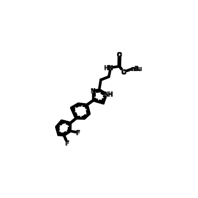 CCCCOC(=O)NCCc1nc(-c2ccc(-c3cccc(F)c3F)cc2)c[nH]1